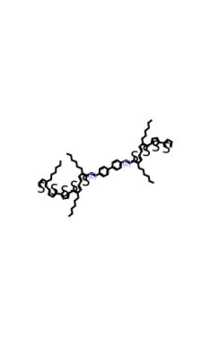 CCCCCCc1cc(-c2cc(CCCCCC)c(-c3ccc(-c4cccs4)s3)s2)sc1/C=C/c1ccc(-c2ccc(/C=C/c3sc(-c4cc(CCCCCC)c(-c5ccc(-c6ccc(-c7sccc7CCCCCC)s6)s5)s4)cc3CCCCCC)cc2)cc1